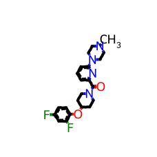 CN1CCN(c2cccc(C(=O)N3CCC(Oc4ccc(F)cc4F)CC3)n2)CC1